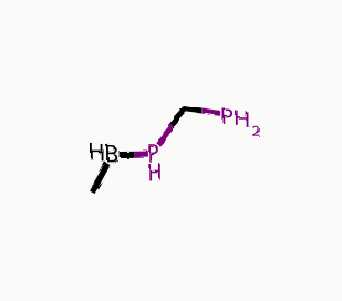 CBPCP